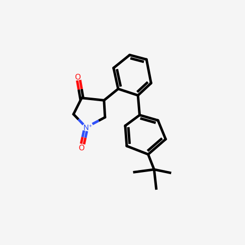 CC(C)(C)c1ccc(-c2ccccc2C2C[N+](=O)CC2=O)cc1